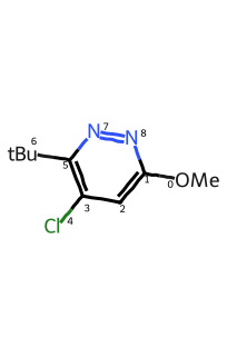 COc1cc(Cl)c(C(C)(C)C)nn1